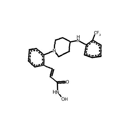 O=C(/C=C/c1ccccc1N1CCC(Nc2ccccc2C(F)(F)F)CC1)NO